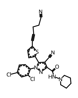 N#CCCC#Cc1ccc(-c2c(C#N)c(C(=O)NN3CCCCC3)nn2-c2ccc(Cl)cc2Cl)s1